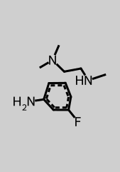 CNCCN(C)C.Nc1cccc(F)c1